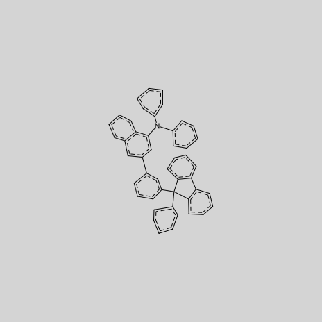 c1ccc(N(c2ccccc2)c2cc(-c3cccc(C4(c5ccccc5)c5ccccc5-c5ccccc54)c3)cc3ccccc23)cc1